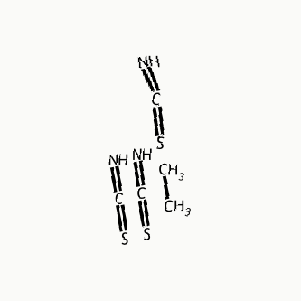 CC.N=C=S.N=C=S.N=C=S